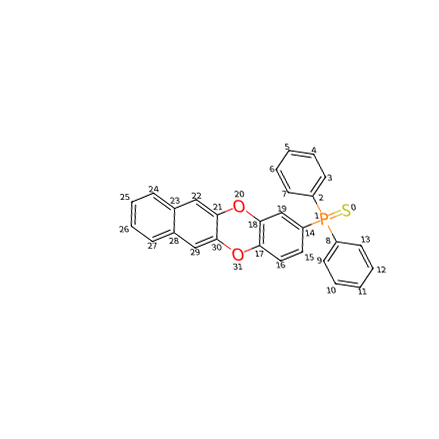 S=P(c1ccccc1)(c1ccccc1)c1ccc2c(c1)Oc1cc3ccccc3cc1O2